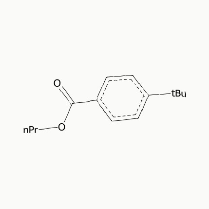 CCCOC(=O)c1ccc(C(C)(C)C)cc1